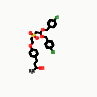 O=S(=O)(CCOc1ccc(CCC(O)C(F)(F)F)cc1)CC(OCc1ccc(Cl)cc1)OCc1ccc(Cl)cc1